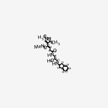 CNO/C(=C\CC(=O)NC[C@H](O)CNC1Cc2ccccc2C1)c1cn(C)nc1C